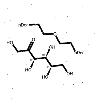 CCCCCCCCCCCCOCCCCCCCCCCCC.O=C(CO)[C@H](O)[C@@H](O)[C@H](O)CO